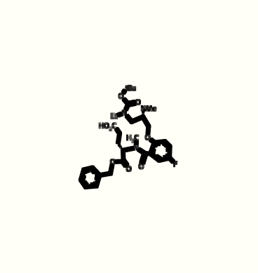 CCN(C[C@@H](COc1ccc(F)cc1C(=O)N(C)[C@@H](CCC(=O)O)C(=O)OCc1ccccc1)NC)C(=O)OC(C)(C)C